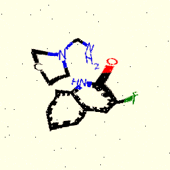 NCN1CCCC1.O=c1[nH]c2ccccc2cc1F